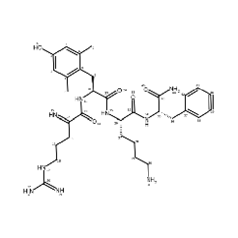 Cc1cc(O)cc(C)c1C[C@H](NC(=O)C(=N)CCCNC(=N)N)C(=O)N[C@@H](CCCCN)C(=O)N[C@@H](Cc1cc#ccc1)C(N)=O